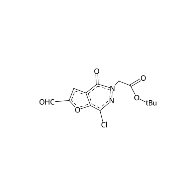 CC(C)(C)OC(=O)Cn1nc(Cl)c2oc(C=O)cc2c1=O